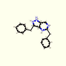 c1ccc(Cc2ncc3[nH]nc(Cc4ccccc4)c3n2)cc1